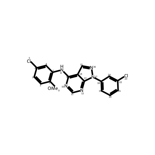 COc1ccc(Cl)cc1Nc1ncnc2c1cnn2-c1cccc(Cl)c1